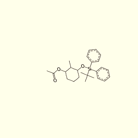 CC(=O)OC1CCCC(O[Si](c2ccccc2)(c2ccccc2)C(C)(C)C)C1C